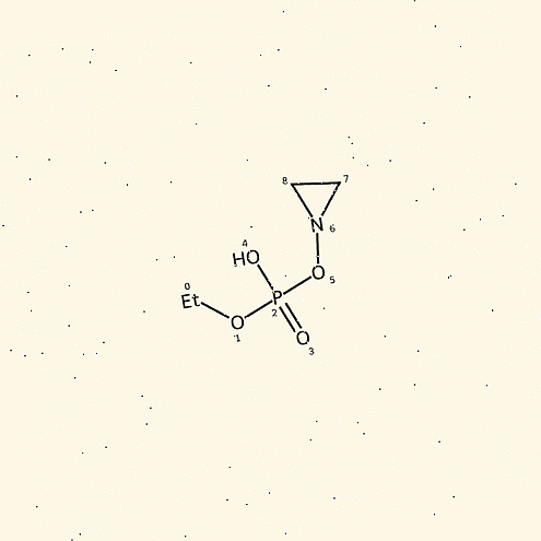 CCOP(=O)(O)ON1CC1